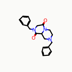 O=C1C2CN(Cc3ccccc3)CCN2C(=O)CN1Cc1ccccc1